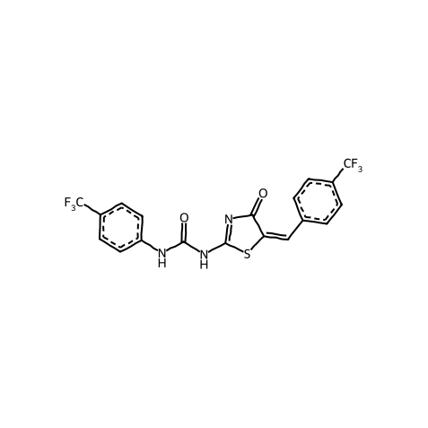 O=C(NC1=NC(=O)C(=Cc2ccc(C(F)(F)F)cc2)S1)Nc1ccc(C(F)(F)F)cc1